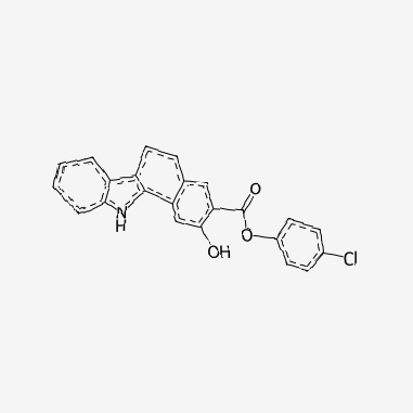 O=C(Oc1ccc(Cl)cc1)c1cc2ccc3c4ccccc4[nH]c3c2cc1O